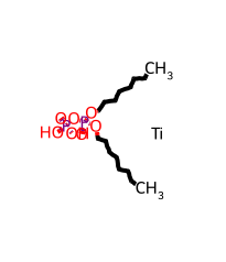 CCCCCCCCOP(=O)(OCCCCCCCC)OP(=O)(O)O.[Ti]